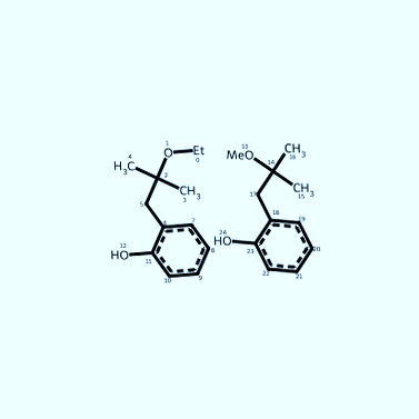 CCOC(C)(C)Cc1ccccc1O.COC(C)(C)Cc1ccccc1O